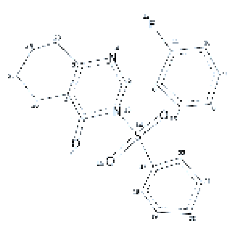 O=c1c2c(nc(-c3ccccc3F)n1S(=O)(=O)c1ccccc1)CCCC2